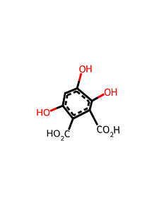 O=C(O)c1c(O)cc(O)c(O)c1C(=O)O